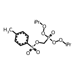 Cc1ccc(S(=O)(=O)OCP(=O)(OOC(C)C)OOC(C)C)cc1